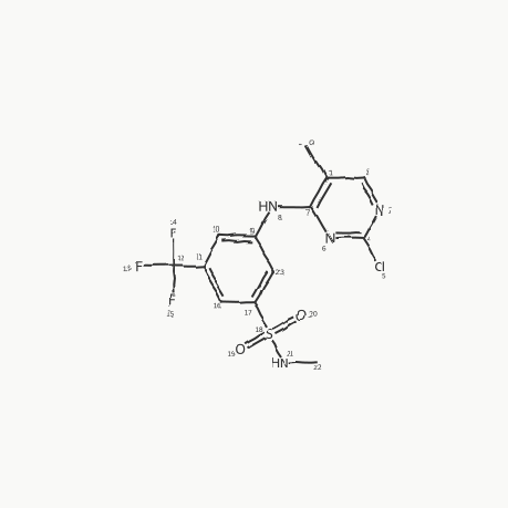 [CH2]c1cnc(Cl)nc1Nc1cc(C(F)(F)F)cc(S(=O)(=O)NC)c1